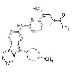 CC(=O)N1Cc2ccc(Nc3ncc4c5ccncc5n(C5CCC(C)CC5)c4n3)nc2[C@H](C)C1